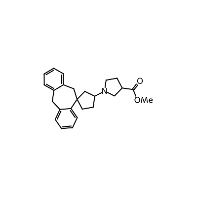 COC(=O)C1CCN(C2CCC3(Cc4ccccc4Cc4ccccc43)C2)C1